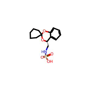 O=S(=O)(O)NC[C@@H]1OC2(CCCCC2)Oc2ccccc21